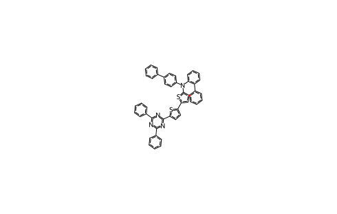 c1ccc(-c2ccc(N(c3ccc(-c4ccc(-c5nc(-c6ccccc6)nc(-c6ccccc6)n5)s4)s3)c3ccccc3-c3ccccc3)cc2)cc1